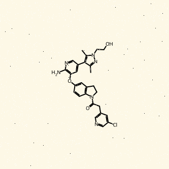 Cc1nn(CCO)c(C)c1-c1cnc(N)c(Oc2ccc3c(c2)CCN3C(=O)Cc2cncc(Cl)c2)c1